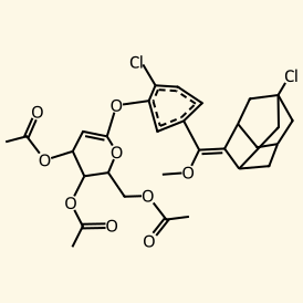 COC(=C1C2CC3CC1CC(Cl)(C3)C2)c1ccc(Cl)c(OC2=CC(OC(C)=O)C(OC(C)=O)C(COC(C)=O)O2)c1